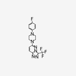 Fc1ccc(N2CCN(c3ccc4nnc(C(F)(F)F)n4n3)CC2)cc1